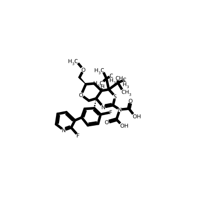 COC[C@H]1C[C@H]2C(C(C)(C)C)(C(C)(C)C)SC(N(C(=O)O)C(=O)O)=N[C@@]2(c2cc(-c3cccnc3F)ccc2F)CO1